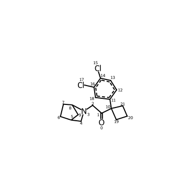 O=C(CN1CC2CCC1C2)C1(c2ccc(Cl)c(Cl)c2)CCC1